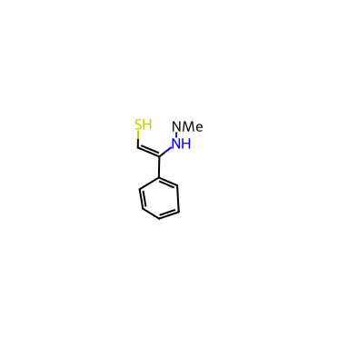 CNN/C(=C\S)c1ccccc1